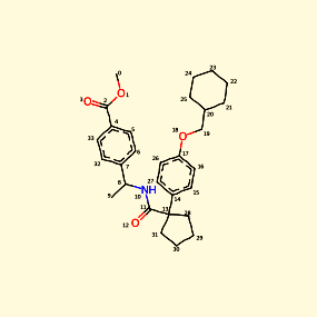 COC(=O)c1ccc(C(C)NC(=O)C2(c3ccc(OCC4CCCCC4)cc3)CCCC2)cc1